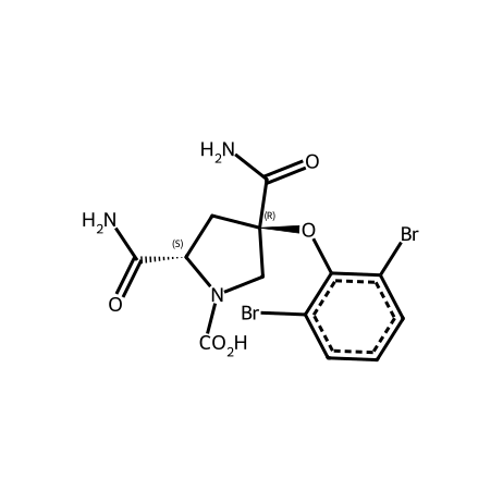 NC(=O)[C@@H]1C[C@](Oc2c(Br)cccc2Br)(C(N)=O)CN1C(=O)O